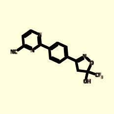 N#Cc1ccnc(-c2ccc(C3=NOC(O)(C(F)(F)F)C3)cc2)n1